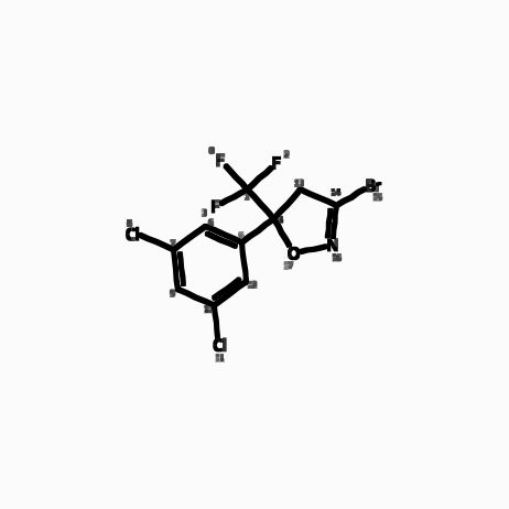 FC(F)(F)C1(c2cc(Cl)cc(Cl)c2)CC(Br)=NO1